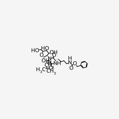 CC(C)(C)OC(=O)N[C@@H](CCCCNC(=O)OCc1ccccc1)C(=O)N[C@H]1C(O)[C@H](O)C(CO)O[C@H]1O